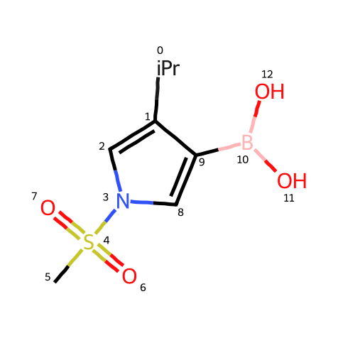 CC(C)c1cn(S(C)(=O)=O)cc1B(O)O